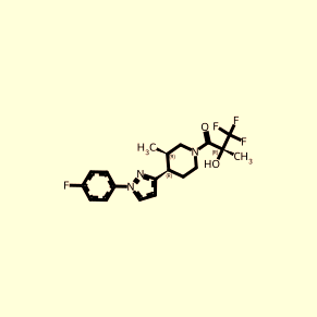 C[C@H]1CN(C(=O)[C@@](C)(O)C(F)(F)F)CC[C@H]1c1ccn(-c2ccc(F)cc2)n1